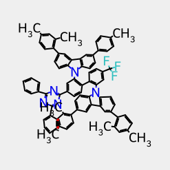 Cc1ccc(-c2ccc3c(c2)c2cc(-c4ccc(C)cc4C)ccc2n3-c2cc(-c3nc(-c4ccccc4)nc(-c4ccccc4)n3)ccc2-c2ccc(C(F)(F)F)cc2-n2c3ccc(-c4ccc(C)cc4C)cc3c3cc(-c4ccc(C)cc4C)ccc32)cc1